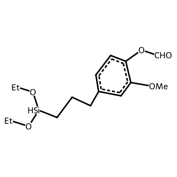 CCO[SiH](CCCc1ccc(OC=O)c(OC)c1)OCC